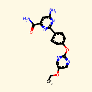 NC(=O)c1cc(N)nc(-c2ccc(Oc3ncc(OCC(F)(F)F)cn3)cc2)n1